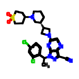 CC(c1ccc(Cl)cc1Cl)n1nc(C#N)c2ncc(N3CC([C@H]4CCCN(C5CCS(=O)(=O)CC5)C4)C3)nc21